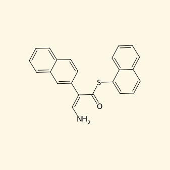 N/C=C(\C(=O)Sc1cccc2ccccc12)c1ccc2ccccc2c1